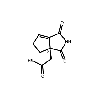 O=C(S)C[C@@]12CCC=C1C(=O)NC2=O